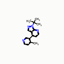 Cc1ccncc1-c1ccnc2c1cnn2C(C)(C)C